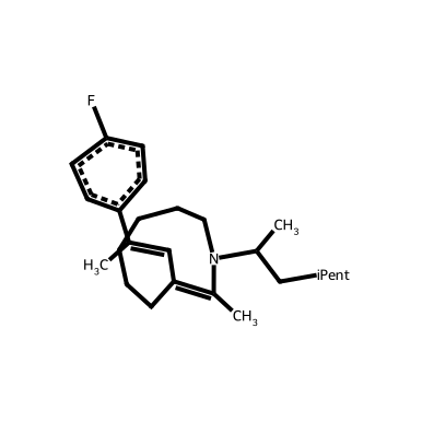 CCCC(C)CC(C)N1CCCCCCC(/C=C(\C)c2ccc(F)cc2)=C/1C